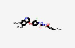 CCCCCCCCCCCCCC(=O)SNC(=O)Nc1ccc(Oc2ccnc3cc(OC)c(OC)cc23)cc1F